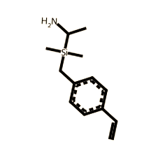 C=Cc1ccc(C[Si](C)(C)C(C)N)cc1